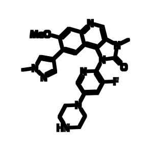 COc1cc2ncc3c(c2cc1-c1cnn(C)c1)n(-c1ncc(N2CCNCC2)cc1F)c(=O)n3C